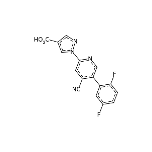 N#Cc1cc(-n2cc(C(=O)O)cn2)ncc1-c1cc(F)ccc1F